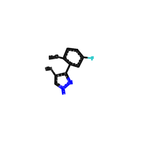 COc1ccc(F)cc1-c1n[nH]cc1C(C)(C)C